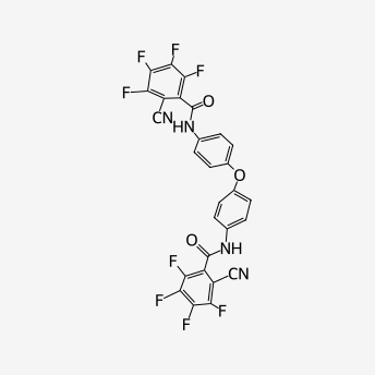 N#Cc1c(F)c(F)c(F)c(F)c1C(=O)Nc1ccc(Oc2ccc(NC(=O)c3c(F)c(F)c(F)c(F)c3C#N)cc2)cc1